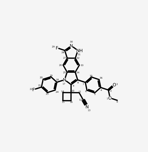 COC(=O)c1ccc(-c2c(C3(CC#N)CCC3)n(-c3ccc(F)cc3)c3cc4c(F)n[nH]c4cc23)cc1